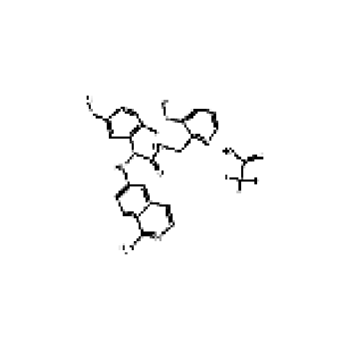 CCOc1ccc(F)c(C(Nc2ccc3c(N)nccc3c2)C(=O)NCc2ncccc2SC(C)C)c1.O=C(O)C(F)(F)F